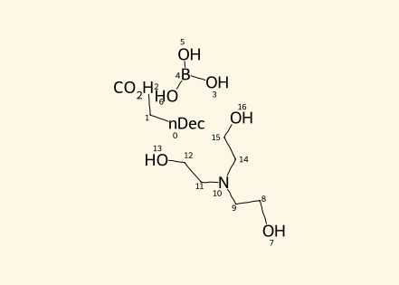 CCCCCCCCCCCC(=O)O.OB(O)O.OCCN(CCO)CCO